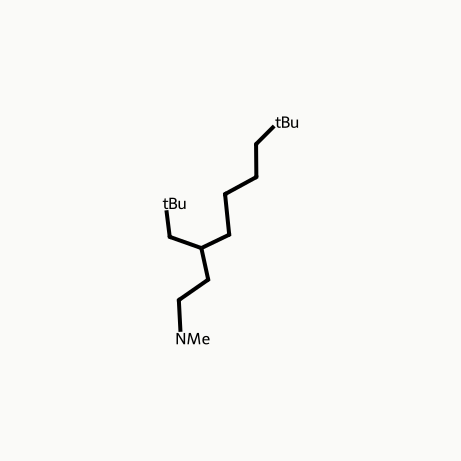 CNCCC(CCCCC(C)(C)C)CC(C)(C)C